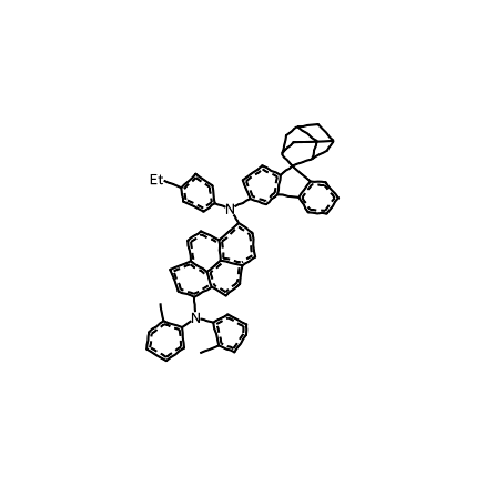 CCc1ccc(N(c2ccc3c(c2)-c2ccccc2C32C3CC4CC(C3)CC2C4)c2ccc3ccc4c(N(c5ccccc5C)c5ccccc5C)ccc5ccc2c3c54)cc1